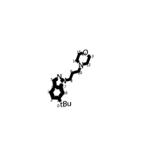 CC(C)(C)c1ccc2cnn(CCCN3CCOCC3)c2c1